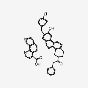 O=C(Cc1ccccc1)C1CCc2ccc3c(ccc4cc(Cc5ccc(Cl)cc5)c(O)cc43)c2C1.O=C(O)c1ccnc2c1ccc1ccncc12